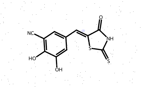 N#Cc1cc(/C=C2\SC(=S)NC2=O)cc(O)c1O